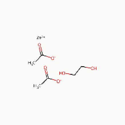 CC(=O)[O-].CC(=O)[O-].OCCO.[Zn+2]